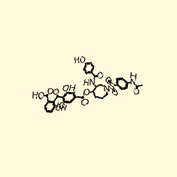 CC(=O)Nc1ccc(S(=O)(=O)N2CCCC(OC(=O)c3cc(O)c(C(=O)c4c(O)cccc4C(=O)O)c(O)c3)C(NC(=O)c3ccc(O)cc3)C2)cc1